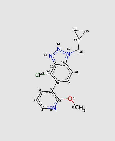 COc1ncccc1-c1ccc2c(nnn2CC2CC2)c1Cl